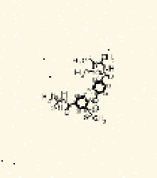 CCN(CC)C(C)NS(=O)(=O)c1ccc(Oc2ccc(C(=O)NC(=N)N)cc2S(C)(=O)=O)cc1